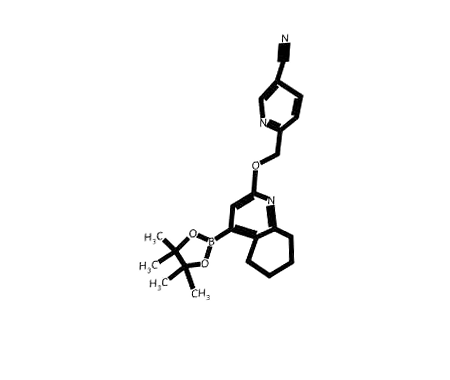 CC1(C)OB(c2cc(OCc3ccc(C#N)cn3)nc3c2CCCC3)OC1(C)C